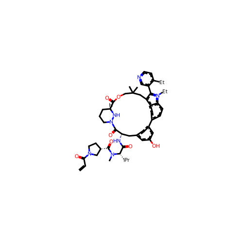 C=CC(=O)N1CC[C@H](C(=O)N(C)[C@H](C(=O)N[C@H]2Cc3cc(O)cc(c3)-c3ccc4c(c3)c(c(-c3cnccc3CC)n4CC)CC(C)(C)COC(=O)[C@@H]3CCCN(N3)C2=O)C(C)C)C1